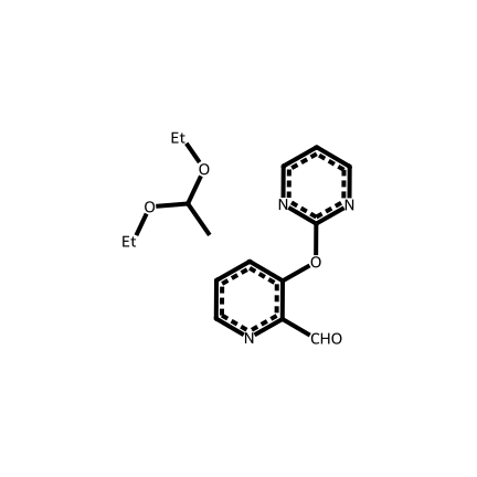 CCOC(C)OCC.O=Cc1ncccc1Oc1ncccn1